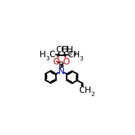 C=Cc1ccc(N(B2OC(C)(C)C(C)(C)O2)c2ccccc2)cc1